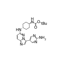 CC(C)(C)OC(=O)N[C@H]1CC[C@H](Nc2ccc3ncc(-c4cnc(N)nc4)n3n2)CC1